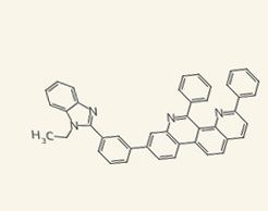 CCn1c(-c2cccc(-c3ccc4c(c3)nc(-c3ccccc3)c3c4ccc4ccc(-c5ccccc5)nc43)c2)nc2ccccc21